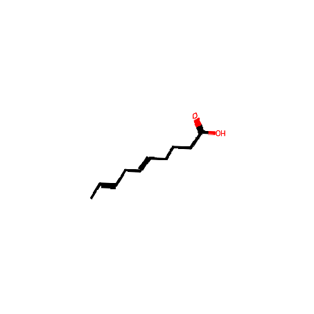 CC=CCC=CCCCC(=O)O